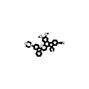 CCC1(CC)c2cc(C#N)ccc2-c2c1c1c(c3cc(OC)c(OC)cc23)OC(c2ccccc2)(c2ccc(N3CCOCC3)cc2)C=C1